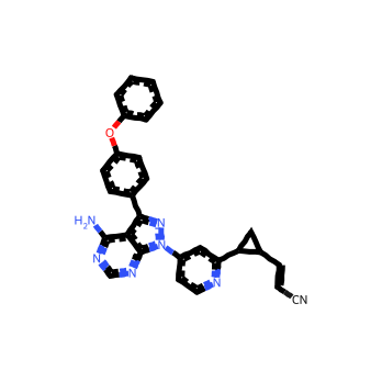 N#CC=CC1CC1c1cc(-n2nc(-c3ccc(Oc4ccccc4)cc3)c3c(N)ncnc32)ccn1